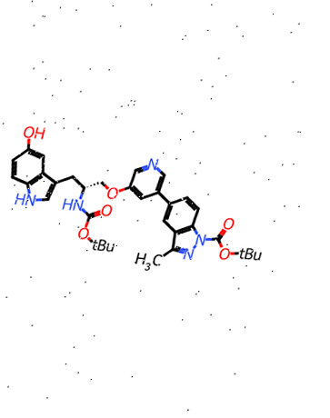 Cc1nn(C(=O)OC(C)(C)C)c2ccc(-c3cncc(OC[C@@H](Cc4c[nH]c5ccc(O)cc45)NC(=O)OC(C)(C)C)c3)cc12